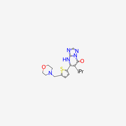 CC(C)c1c(-c2ccc(CN3CCOCC3)s2)[nH]c2ncnn2c1=O